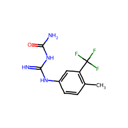 Cc1ccc(NC(=N)NC(N)=O)cc1C(F)(F)F